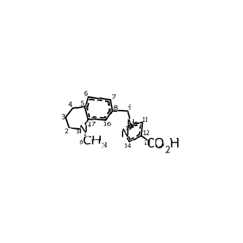 CN1CCCc2ccc(Cn3cc(C(=O)O)cn3)cc21